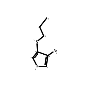 CCCSc1cscc1Br